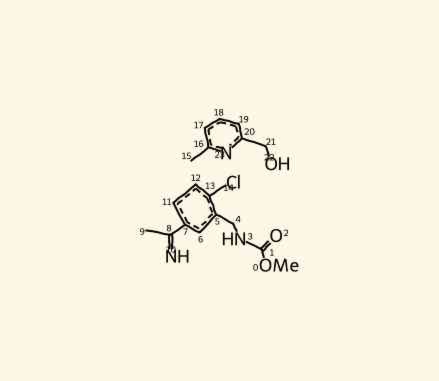 COC(=O)NCc1cc(C(C)=N)ccc1Cl.Cc1cccc(CO)n1